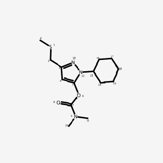 CSCc1cc(OC(=O)N(C)C)n(C2CCCCC2)n1